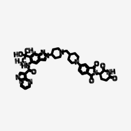 CC(C)(O)c1cc2nn(C3CCN(CC4CCN(c5ccc6c(c5)C(=O)N(C5CCC(=O)NC5=O)C6=O)CC4)CC3)cc2cc1NC(=O)c1cnn2cccnc12